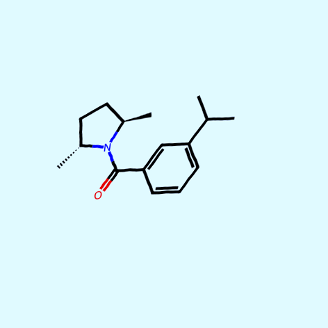 CC(C)c1cccc(C(=O)N2[C@H](C)CC[C@H]2C)c1